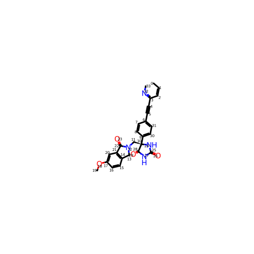 C/C=C\C(C#Cc1ccc([C@]2(CN3Cc4ccc(OC)cc4C3=O)NC(=O)NC2=O)cc1)=N/C